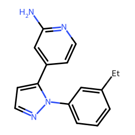 CCc1cccc(-n2nccc2-c2ccnc(N)c2)c1